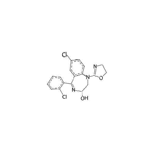 OC1CN(C2=NCCO2)c2ccc(Cl)cc2C(c2ccccc2Cl)=N1